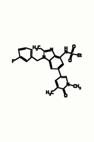 CCS(=O)(=O)Nc1cc(-c2cc(C)c(=O)n(C)c2)cc2c1nc(C)n2Cc1cccc(F)c1